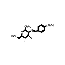 COc1ccc(C=NC2C(OC(C)=O)OC(COC(C)=O)[C@@H](C)[C@@H]2C)cc1